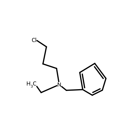 CCN(CCCCl)Cc1ccccc1